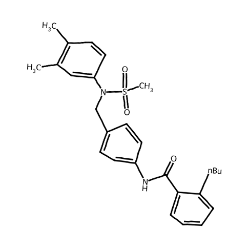 CCCCc1ccccc1C(=O)Nc1ccc(CN(c2ccc(C)c(C)c2)S(C)(=O)=O)cc1